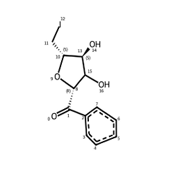 O=C(c1ccccc1)[C@@H]1O[C@H](CI)[C@@H](O)C1O